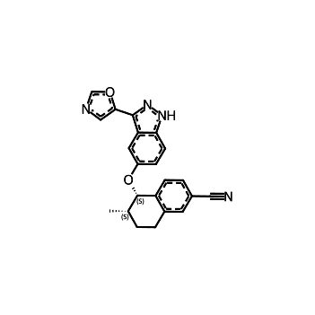 C[C@H]1CCc2cc(C#N)ccc2[C@H]1Oc1ccc2[nH]nc(-c3cnco3)c2c1